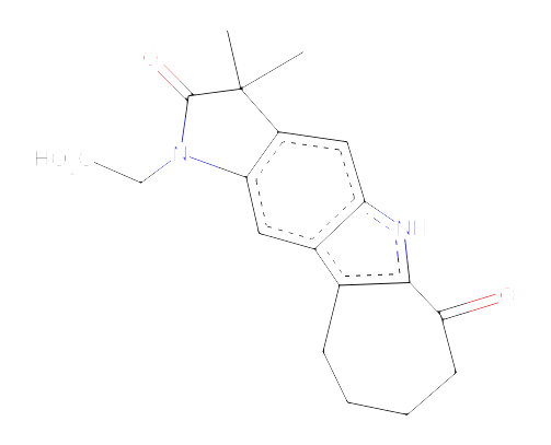 CC1(C)C(=O)N(CC(=O)O)c2cc3c4c([nH]c3cc21)C(=O)CCCC4